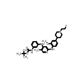 COc1cc(C2CCN(CCF)CC2)ccc1Nc1cc(Nc2cccc(NC(=O)OC(C)(C)C)c2)c(C)cn1